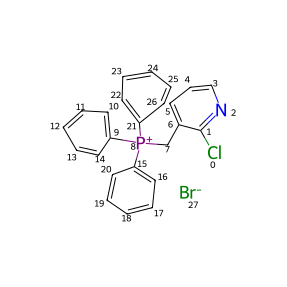 Clc1ncccc1C[P+](c1ccccc1)(c1ccccc1)c1ccccc1.[Br-]